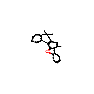 Cc1cc2c(c3oc4ccccc4c13)-c1ccccc1C2(C)C